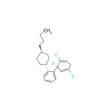 CCCC[C@H]1CC[C@H](c2ccccc2C2(F)C=C(F)CC=C2F)CC1